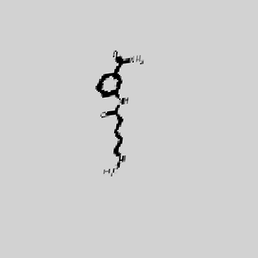 CNCCCCC(=O)Nc1cccc(C(N)=O)c1